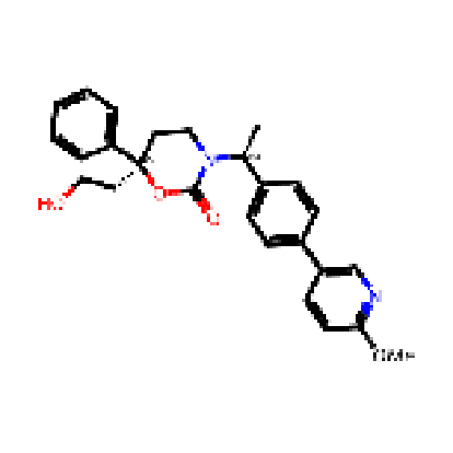 COc1ccc(-c2ccc([C@H](C)N3CC[C@](CCO)(c4ccccc4)OC3=O)cc2)cn1